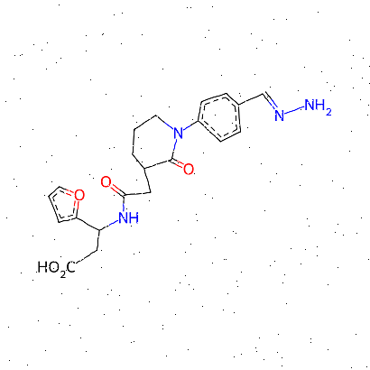 NN=Cc1ccc(N2CCCC(CC(=O)NC(CC(=O)O)c3ccco3)C2=O)cc1